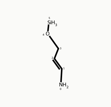 NC=CCO[SiH3]